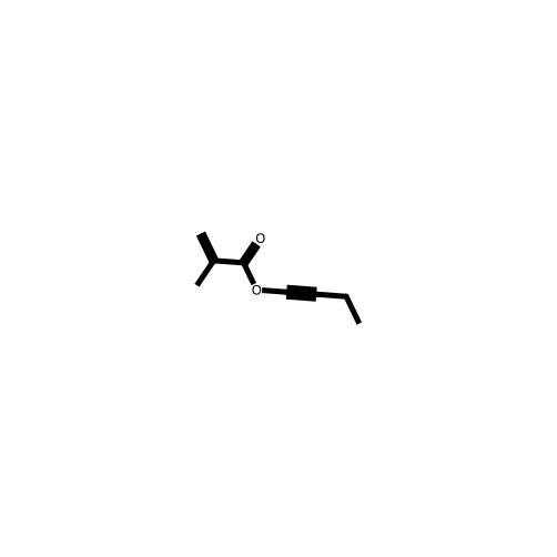 C=C(C)C(=O)OC#CCC